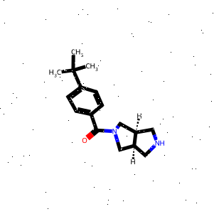 CC(C)(C)c1ccc(C(=O)N2C[C@H]3CNC[C@H]3C2)cc1